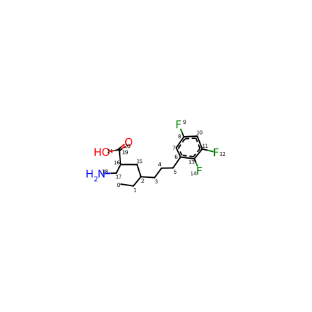 CCC(CCCc1cc(F)cc(F)c1F)CC(CN)C(=O)O